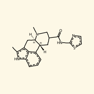 Cc1[nH]c2cccc3c2c1C[C@@H]1[C@@H]3CC(C(=O)Nc2nccs2)CN1C